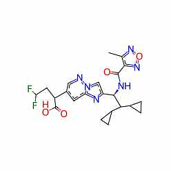 Cc1nonc1C(=O)N[C@H](c1cn2ncc(C(CC(F)F)C(=O)O)cc2n1)C(C1CC1)C1CC1